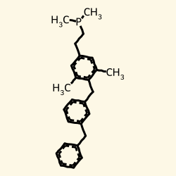 Cc1cc(CCP(C)C)cc(C)c1Cc1cccc(Cc2ccccc2)c1